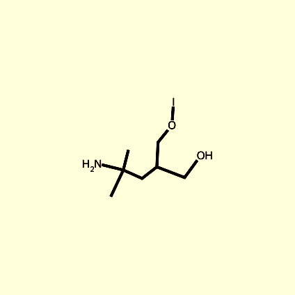 CC(C)(N)CC(CO)COI